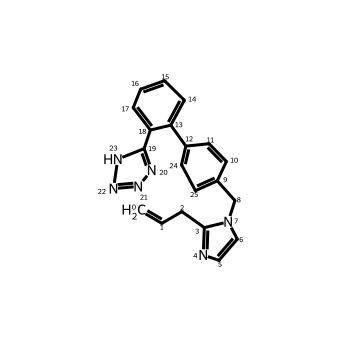 C=CCc1nccn1Cc1ccc(-c2ccccc2-c2nnn[nH]2)cc1